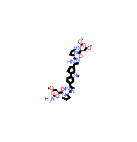 COCC[C@H](NC(=O)OC)C(=O)N1CCC[C@H]1c1ncc(-c2ccc3c4ccc(-c5cnc([C@@H]6CCCN6C(=O)[C@H](CCOC)OC(N)=O)[nH]5)cc4n(C)c3c2)[nH]1